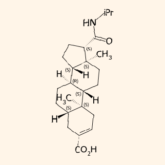 CC(C)NC(=O)[C@H]1CC[C@H]2[C@@H]3CC[C@H]4CC(C(=O)O)=CC[C@]4(C)[C@H]3CC[C@]12C